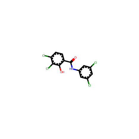 O=C(Nc1cc(Cl)cc(Cl)c1)c1ccc(Cl)c(Cl)c1O